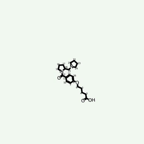 O=C(O)CCCCOc1ccc(C(=O)N2CCCC2CN2CCCC2)cc1